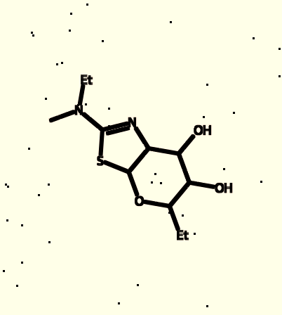 CCC1OC2SC(N(C)CC)=NC2C(O)C1O